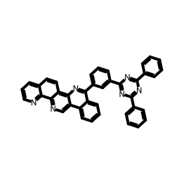 c1ccc(-c2nc(-c3ccccc3)nc(-c3cccc(-c4nc5c(cnc6c5ccc5cccnc56)c5ccccc45)c3)n2)cc1